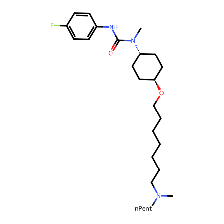 CCCCCN(C)CCCCCCCO[C@H]1CC[C@H](N(C)C(=O)Nc2ccc(F)cc2)CC1